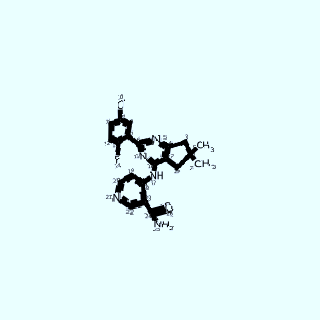 CC1(C)Cc2nc(-c3cc(Cl)ccc3F)nc(Nc3ccncc3C(N)=O)c2C1